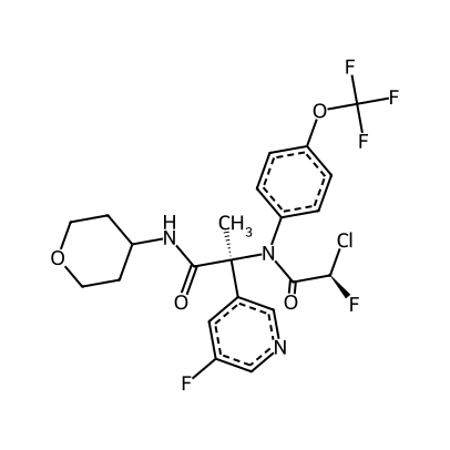 C[C@@](C(=O)NC1CCOCC1)(c1cncc(F)c1)N(C(=O)[C@H](F)Cl)c1ccc(OC(F)(F)F)cc1